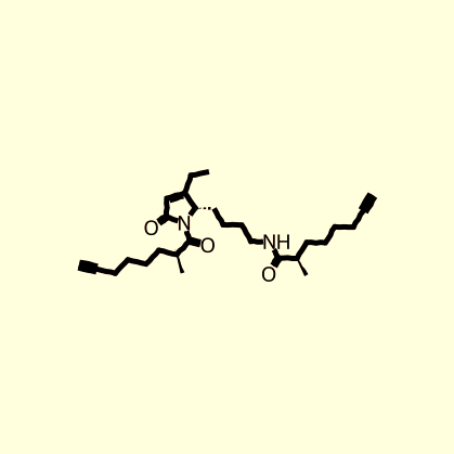 C#CCCCC[C@@H](C)C(=O)NCCCC[C@H]1C(CC)=CC(=O)N1C(=O)[C@@H](C)CCCCC#C